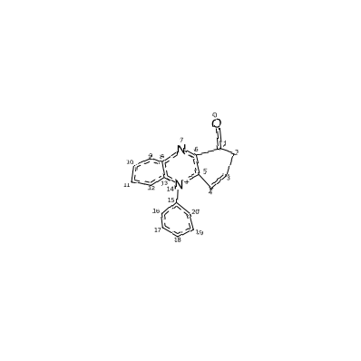 O=C1CC=Cc2c1nc1ccccc1[n+]2-c1ccccc1